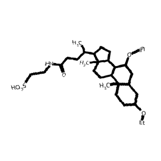 CCOC1CCC2(C)C(C1)CC(OC(C)C)C1C2CCC2(C)C(C(C)CCC(=O)NCCS(=O)(=O)O)CCC12